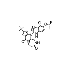 CC(C)(C)c1cc(C(=O)N2CCNC(=O)CC2)c(NC(=O)Nc2ccc(OC(F)F)c(Cl)c2Cl)s1